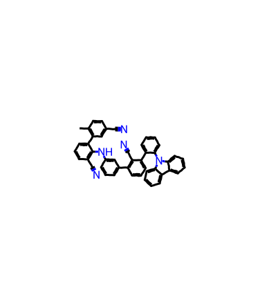 Cc1ccc(C#N)cc1-c1cccc(C#N)c1Nc1cccc(-c2cccc(-c3ccccc3-n3c4ccccc4c4ccccc43)c2C#N)c1